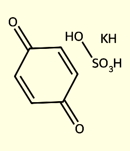 O=C1C=CC(=O)C=C1.O=S(=O)(O)O.[KH]